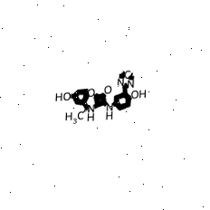 C[C@@H](Nc1c(Nc2ccc(O)c(-c3ncccn3)c2)c(=O)c1=O)c1cccc(O)c1